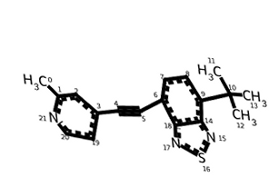 Cc1cc(C#Cc2ccc(C(C)(C)C)c3nsnc23)ccn1